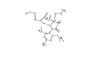 CCOC(=O)OC1C(c2c(C)cc(Br)cc2CC)C(=O)NC1(C)COC